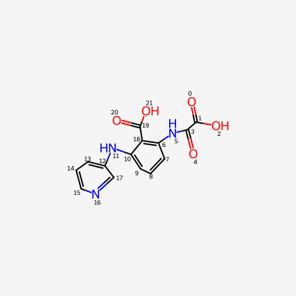 O=C(O)C(=O)Nc1cccc(Nc2cccnc2)c1C(=O)O